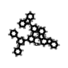 N#Cc1cc(-c2nc(-c3ccccc3)nc(-c3ccccc3)n2)cc(-c2cc(-n3c4ccccc4c4ccccc43)ccn2)c1-n1c2ccccc2c2c3sc4ccccc4c3ccc21